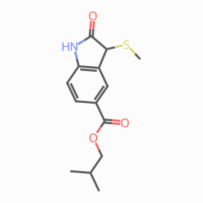 CSC1C(=O)Nc2ccc(C(=O)OCC(C)C)cc21